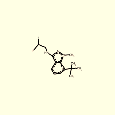 Cn1nc(NCC(F)F)c2cccc(C(C)(C)C)c21